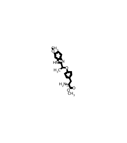 COC(=O)[C@@H](N)Cc1ccc(OC(C)c2nc3ccc(OC)cc3[nH]2)cc1